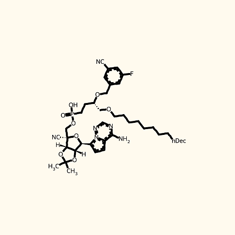 CCCCCCCCCCCCCCCCCCOC[C@H](CCP(=O)(O)OC[C@@]1(C#N)O[C@@H](c2ccc3c(N)ncnn23)[C@@H]2OC(C)(C)O[C@@H]21)OCc1cc(F)cc(C#N)c1